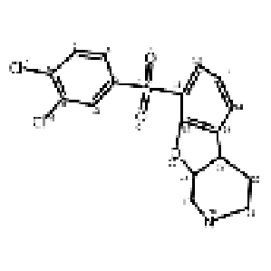 O=S(=O)(c1ccc(Cl)c(Cl)c1)c1cccc2c1OC1CNCCC21